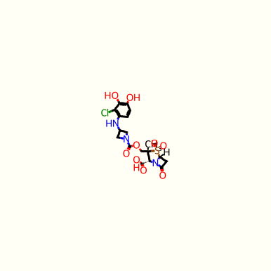 C[C@]1(COC(=O)N2CC(Nc3ccc(O)c(O)c3Cl)C2)[C@@H](C(=O)O)N2C(=O)C[C@H]2S1(=O)=O